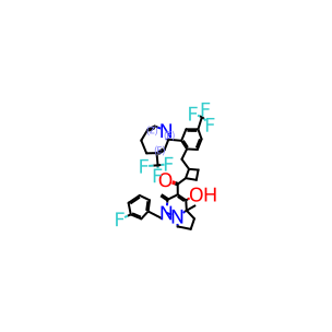 C=C1C(C(=O)C2CCC2Cc2ccc(C(F)(F)F)cc2C2=N/C=C\CC/C(C(F)(F)F)=C\2)=C(O)C2(C)CCCN2N1Cc1cccc(F)c1